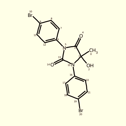 CC1(O)C(=O)N(c2ccc(Br)cc2)C(=O)N1c1ccc(Br)cc1